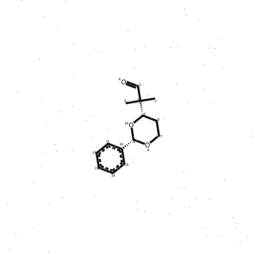 CC(C)(C=O)[C@@H]1CCO[C@H](c2ccccc2)O1